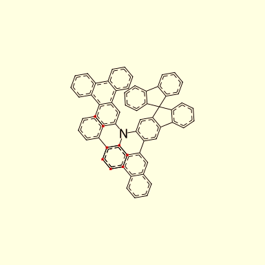 c1ccc(-c2ccccc2N(c2ccc3c4ccccc4c4ccccc4c3c2)c2cc3c(cc2-c2cc4ccccc4c4ccccc24)-c2ccccc2C32c3ccccc3-c3ccccc32)cc1